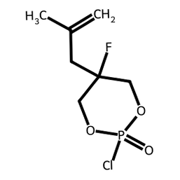 C=C(C)CC1(F)COP(=O)(Cl)OC1